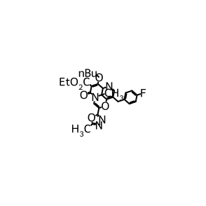 CCCCOC1=C(C(=O)OCC)C(=O)N2C=C(c3nnc(C)o3)OC3=C(Cc4ccc(F)cc4)C=NC1C32C